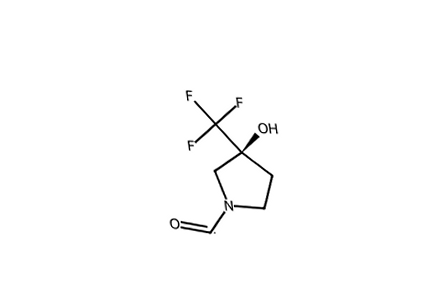 O=[C]N1CC[C@@](O)(C(F)(F)F)C1